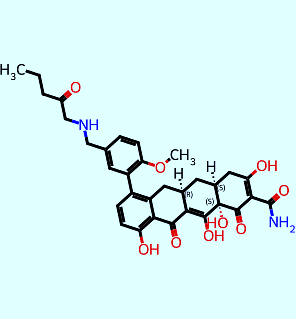 CCCC(=O)CNCc1ccc(OC)c(-c2ccc(O)c3c2C[C@H]2C[C@H]4CC(O)=C(C(N)=O)C(=O)[C@@]4(O)C(O)=C2C3=O)c1